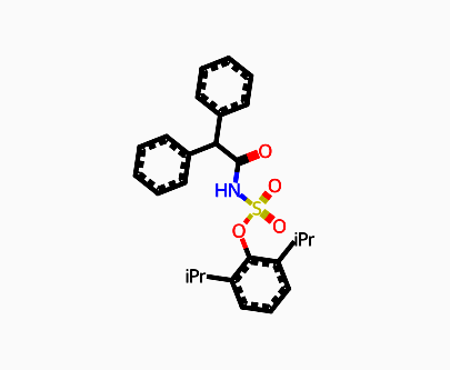 CC(C)c1cccc(C(C)C)c1OS(=O)(=O)NC(=O)C(c1ccccc1)c1ccccc1